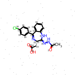 CC(=O)N/N=C1\Nc2ccccc2C(c2ccc(Cl)cc2)=N[C@H]1CC(=O)O